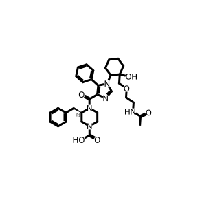 CC(=O)NCCOCC1(O)CCCCC1n1cnc(C(=O)N2CCN(C(=O)O)C[C@H]2Cc2ccccc2)c1-c1ccccc1